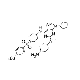 CC(C)(C)c1ccc(S(=O)(=O)N2CCC(Nc3nc(NC4CCC(N)CC4)nc4c3ncn4C3CCCC3)CC2)cc1